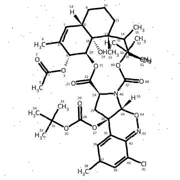 CC(=O)O[C@@H]1C(C)=C[C@@H]2CCC[C@](C)(C(C)CO)[C@@]2(O)[C@H]1OC(=O)[C@@H]1C[C@@]2(OC(=O)OC(C)(C)C)C3=CC(C)C=C(Cl)C3=NO[C@H]2N1C(=O)OC(C)(C)C